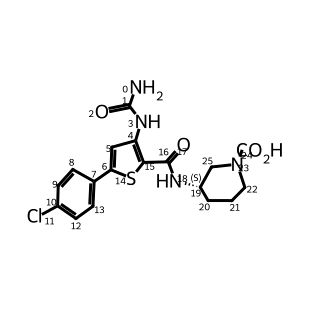 NC(=O)Nc1cc(-c2ccc(Cl)cc2)sc1C(=O)N[C@H]1CCCN(C(=O)O)C1